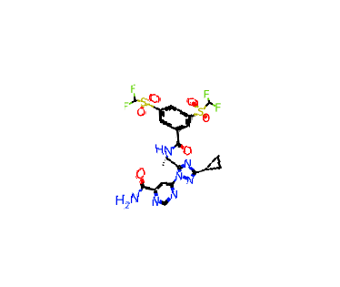 C[C@H](NC(=O)c1cc(S(=O)(=O)C(F)F)cc(S(=O)(=O)C(F)F)c1)c1nc(C2CC2)nn1-c1cc(C(N)=O)ncn1